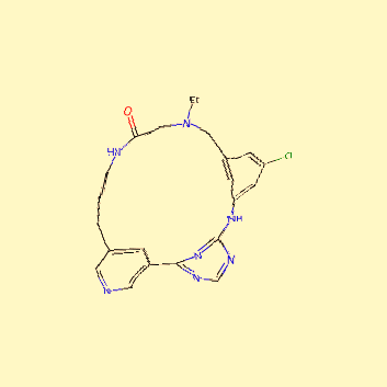 CCN1CC(=O)NCCCc2cncc(c2)-c2ncnc(n2)Nc2cc(Cl)cc(c2)C1